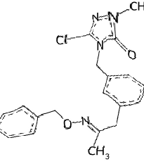 CC(Cc1cccc(Cn2c(Cl)nn(C)c2=O)c1)=NOCc1ccccc1